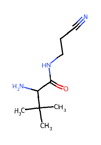 CC(C)(C)C(N)C(=O)NCCC#N